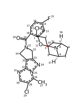 CCCCN1[C@@H]2CC[C@H]1CC(Oc1cc(F)ccc1C(=O)N1Cc3nn4c(C)c(Cl)cnc4c3C1)C2